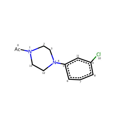 [CH2]C(=O)N1CCN(c2cccc(Cl)c2)CC1